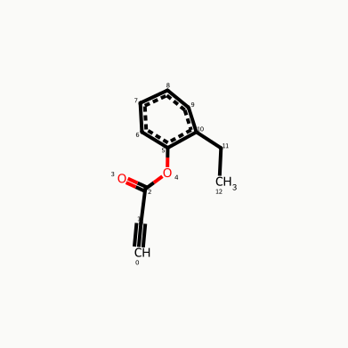 C#CC(=O)Oc1ccccc1CC